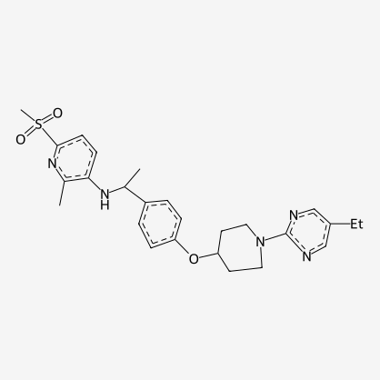 CCc1cnc(N2CCC(Oc3ccc(C(C)Nc4ccc(S(C)(=O)=O)nc4C)cc3)CC2)nc1